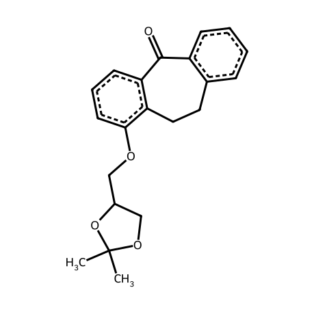 CC1(C)OCC(COc2cccc3c2CCc2ccccc2C3=O)O1